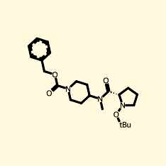 CN(C(=O)[C@@H]1CCCN1OC(C)(C)C)C1CCN(C(=O)OCc2ccccc2)CC1